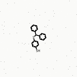 Sc1ccc(SC(c2ccccc2)c2ccccc2)cc1